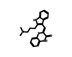 CN(C)CCCc1[nH]c2ccccc2c1C=C1Sc2ccccc2NC1=O